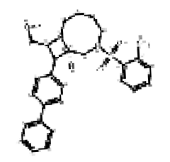 COC[C@@H]1C(c2ccc(-c3ccccc3)cc2)[C@@H]2CN(S(=O)(=O)c3ccccc3C)CCCCN12